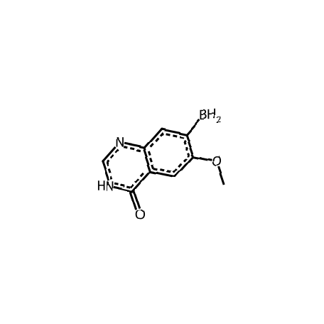 Bc1cc2nc[nH]c(=O)c2cc1OC